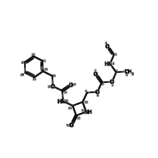 CC(NC=O)OC(=O)OCC1NC(=O)C1NC(=O)OCc1ccccc1